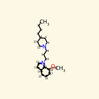 CCCCC1CCN(CCCn2ccc3cccc(OC)c32)CC1